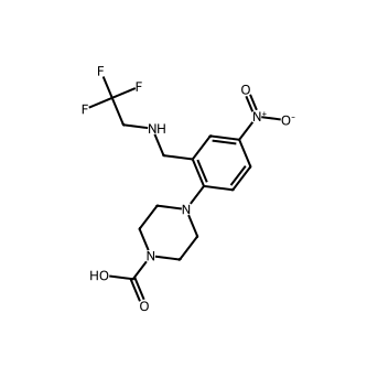 O=C(O)N1CCN(c2ccc([N+](=O)[O-])cc2CNCC(F)(F)F)CC1